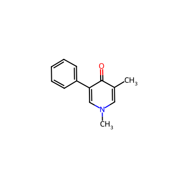 Cc1cn(C)cc(-c2ccccc2)c1=O